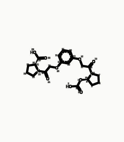 O=C(O)O[C@@H]1CCCN1C(=O)COc1cccc(OCC(=O)N2CCC[C@@H]2C(=O)O)c1